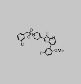 COc1ccc(F)cc1-c1ccnc2[nH]c(C3=CCN(S(=O)(=O)Cc4cccc(Cl)c4)CC3)cc12